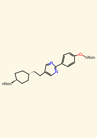 CCCCCCCCCOc1ccc(-c2ncc(CC[C@H]3CC[C@H](CCCCCCCCC)CC3)cn2)cc1